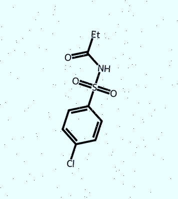 [CH2]CC(=O)NS(=O)(=O)c1ccc(Cl)cc1